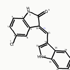 O=C1Nc2ccc(Cl)cc2/C1=C\c1c[nH]c2ccccc12